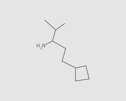 CC(C)C(N)CCC1CCC1